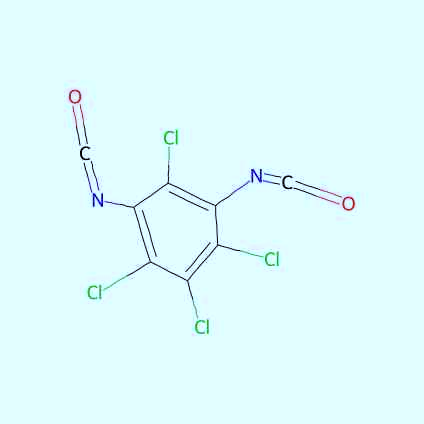 O=C=Nc1c(Cl)c(Cl)c(Cl)c(N=C=O)c1Cl